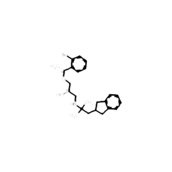 C[C@@H](OC[C@H](O)CNC(C)(C)CC1Cc2ccccc2C1)c1ccccc1Br